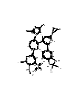 Cc1cn(-c2ccc(-c3cc(F)c(CO)c(S(C)(=O)=O)c3)cc2-c2nc(C3CC3)oc2-c2ccc3c(c2)OC(F)(F)O3)c(C)n1